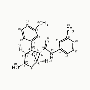 Cc1cc([C@H]2[C@H]3O[C@H](C[C@@H]3O)[C@H]2C(=O)Nc2cccc(C(F)(F)F)c2)ccn1